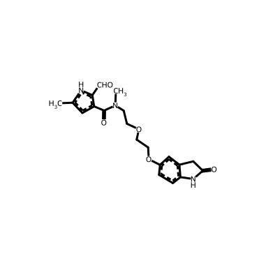 Cc1cc(C(=O)N(C)CCOCCOc2ccc3c(c2)CC(=O)N3)c(C=O)[nH]1